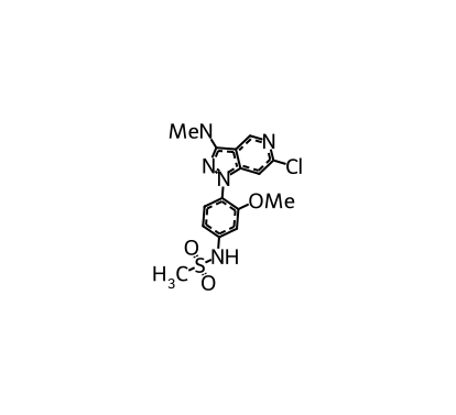 CNc1nn(-c2ccc(NS(C)(=O)=O)cc2OC)c2cc(Cl)ncc12